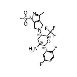 Cc1nn(S(C)(=O)=O)c2c1CN([C@@H]1C[C@H](N)[C@@H](c3cc(F)ccc3F)O[C@@H]1C(F)(F)F)C2